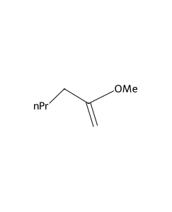 [CH2]CCCC(=C)OC